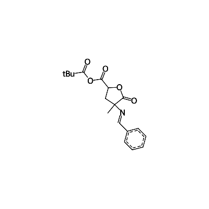 CC(C)(C)C(=O)OC(=O)C1CC(C)(N=Cc2ccccc2)C(=O)O1